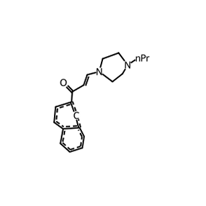 CCCN1CCN(C=CC(=O)c2ccc3ccccc3c2)CC1